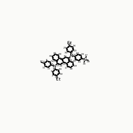 CCc1ccc(N(c2ccc(C)cc2)c2cc3c4ccccc4c(N(c4ccc(CC)cc4)c4ccc([Si](C)(C)C)cc4)cc3c3ccccc23)cc1